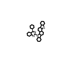 c1ccc(-c2nc(-n3c4ccccc4c4ccc5c(ccc6c7ccccc7sc65)c43)nc3ccccc23)cc1